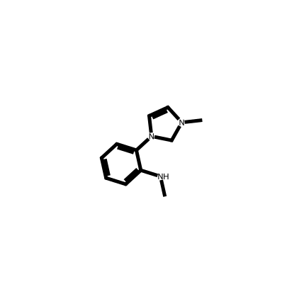 CNc1ccccc1N1C=CN(C)C1